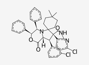 CC1(C)CCC2(CC1)N1[C@H](c3ccccc3)[C@H](c3ccccc3)OC(=O)[C@H]1[C@H](c1cccc(Cl)c1)[C@@]21C(=O)Nc2nc(Cl)ccc21